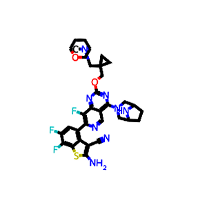 N#Cc1c(N)sc2c(F)c(F)cc(-c3ncc4c(N5CC6CCC(C5)N6)nc(OCC5(CN6CC7CCC6CO7)CC5)nc4c3F)c12